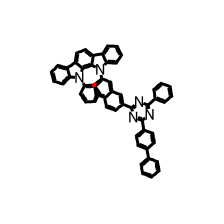 c1ccc(-c2ccc(-c3nc(-c4ccccc4)nc(-c4ccc5ccc(-n6c7ccccc7c7ccc8c9ccccc9n(-c9ccccc9)c8c76)cc5c4)n3)cc2)cc1